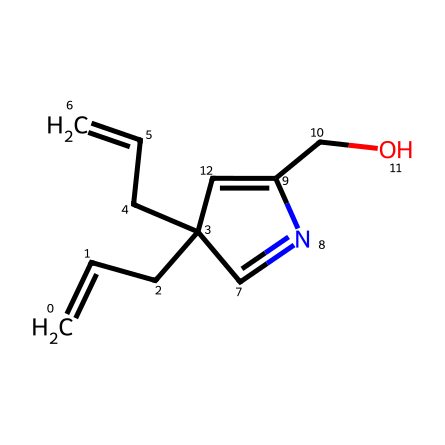 C=CCC1(CC=C)C=NC(CO)=C1